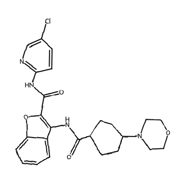 O=C(Nc1ccc(Cl)cn1)c1oc2ccccc2c1NC(=O)C1CCC(N2CCOCC2)CC1